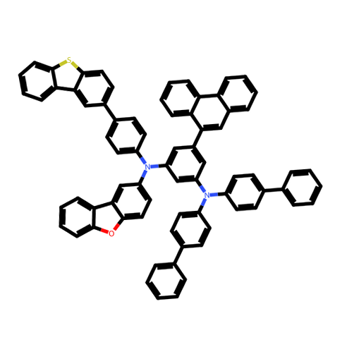 c1ccc(-c2ccc(N(c3ccc(-c4ccccc4)cc3)c3cc(-c4cc5ccccc5c5ccccc45)cc(N(c4ccc(-c5ccc6sc7ccccc7c6c5)cc4)c4ccc5oc6ccccc6c5c4)c3)cc2)cc1